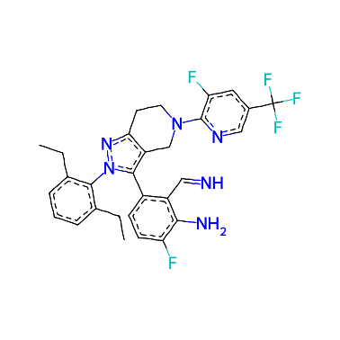 CCc1cccc(CC)c1-n1nc2c(c1-c1ccc(F)c(N)c1C=N)CN(c1ncc(C(F)(F)F)cc1F)CC2